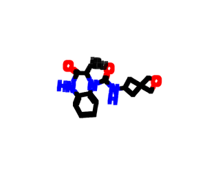 CCC(C)C1C(=O)Nc2ccccc2N1C(=O)NC1CC2(COC2)C1